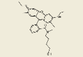 CC/N=c1/cc2oc3cc(NCC)c(C)cc3c(-c3ccccc3C(=O)N(C)CCCCO)c-2cc1C